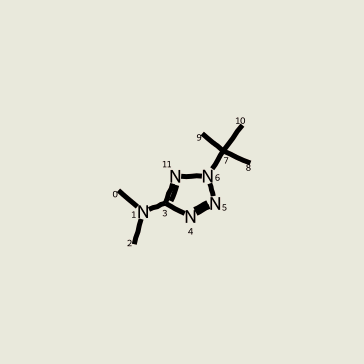 CN(C)c1nnn(C(C)(C)C)n1